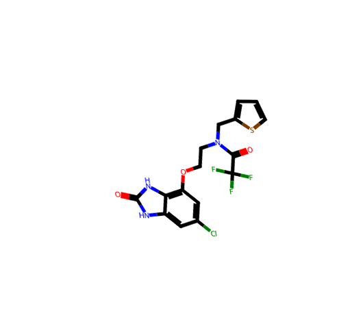 O=C(N(CCOc1cc(Cl)cc2[nH]c(=O)[nH]c12)Cc1cccs1)C(F)(F)F